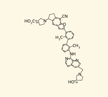 Cc1c(Nc2nccc3cc(CN4CC[C@@H](O)C4)cnc23)cccc1-c1cccc(-c2cc3cc4c(c(C#N)c3o2)CCC4N2CC[C@@H](C(=O)O)C2)c1C